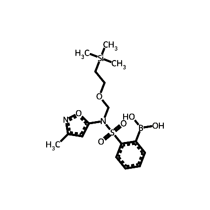 Cc1cc(N(COCC[Si](C)(C)C)S(=O)(=O)c2ccccc2B(O)O)on1